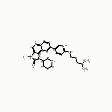 CN(C)CCCOc1ccc(-c2ccc3ncc4c(c3c2)n(C2CCCOC2)c(=O)n4C)cn1